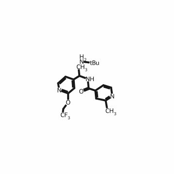 CC(C)(C)N.Cc1cc(C(=O)NC(C)c2ccnc(OCC(F)(F)F)c2)ccn1